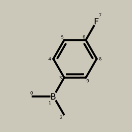 CB(C)c1ccc(F)cc1